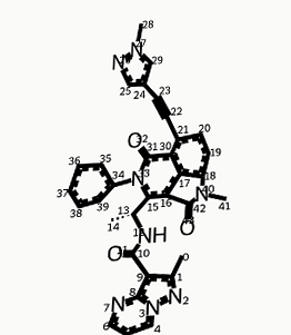 Cc1nn2cccnc2c1C(=O)N[C@H](C)c1c2c3c(ccc(C#Cc4cnn(C)c4)c3c(=O)n1-c1ccccc1)N(C)C2=O